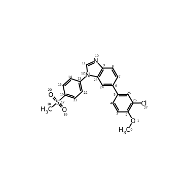 COc1ccc(-c2ccc3ncn(-c4ccc(S(C)(=O)=O)cc4)c3c2)cc1Cl